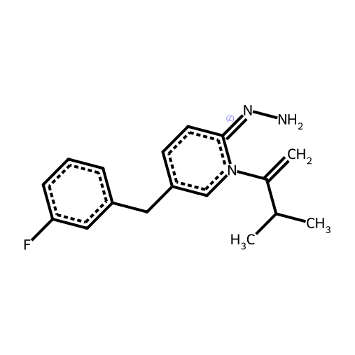 C=C(C(C)C)n1cc(Cc2cccc(F)c2)cc/c1=N/N